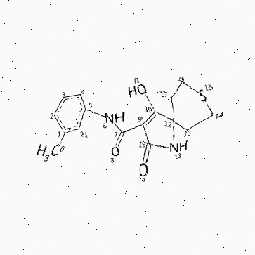 Cc1cccc(NC(=O)C2=C(O)C3(CCSCC3)NC2=O)c1